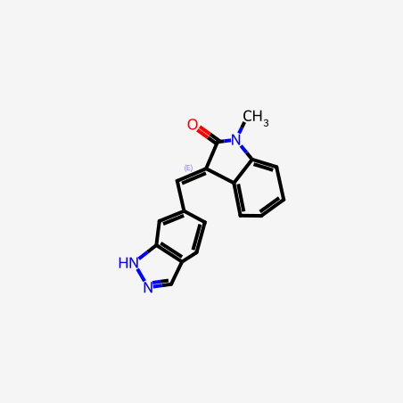 CN1C(=O)/C(=C/c2ccc3cn[nH]c3c2)c2ccccc21